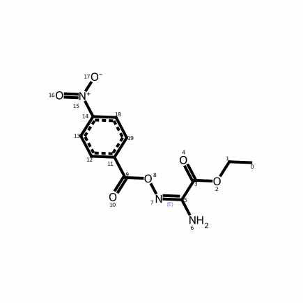 CCOC(=O)/C(N)=N\OC(=O)c1ccc([N+](=O)[O-])cc1